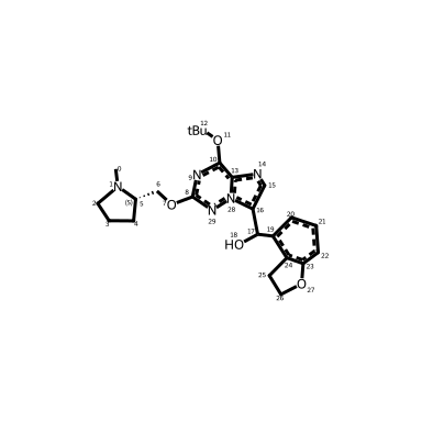 CN1CCC[C@H]1COc1nc(OC(C)(C)C)c2ncc(C(O)c3cccc4c3CCO4)n2n1